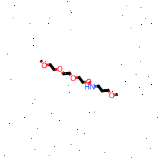 COCCCNOCCOCCOCCOC